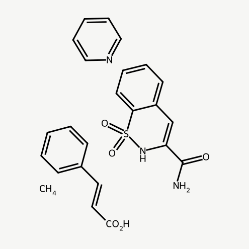 C.NC(=O)C1=Cc2ccccc2S(=O)(=O)N1.O=C(O)C=Cc1ccccc1.c1ccncc1